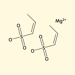 C/C=C\S(=O)(=O)[O-].C/C=C\S(=O)(=O)[O-].[Mg+2]